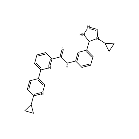 O=C(Nc1cccc(C2NN=CN2C2CC2)c1)c1cccc(-c2ccc(C3CC3)nc2)n1